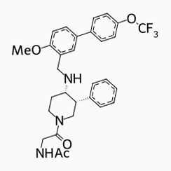 COc1ccc(-c2ccc(OC(F)(F)F)cc2)cc1CN[C@H]1CCN(C(=O)CNC(C)=O)C[C@H]1c1ccccc1